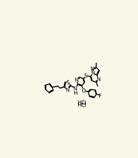 Cc1cc(Sc2cnc(Nc3nc(CCc4ccccc4)cs3)c(Oc3ccc(F)cc3)c2)n2nc(C)cc2n1.Cl.Cl